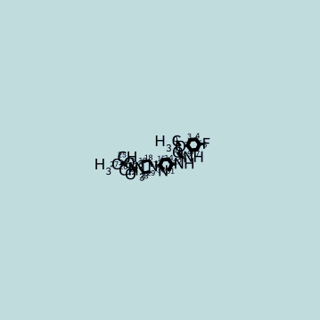 COc1ccc(F)cc1NC(=O)Nc1ccc(N2CCN(C(=O)OC(C)(C)C)CC2)nc1